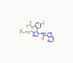 CSc1ccc(OC(F)F)c(-c2c(NC(=O)c3cnn4cccnc34)cnn2COCCS(C)(C)C)c1